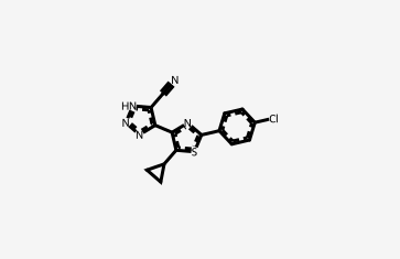 N#Cc1[nH]nnc1-c1nc(-c2ccc(Cl)cc2)sc1C1CC1